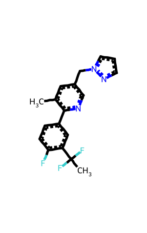 Cc1cc(Cn2cccn2)cnc1-c1ccc(F)c(C(C)(F)F)c1